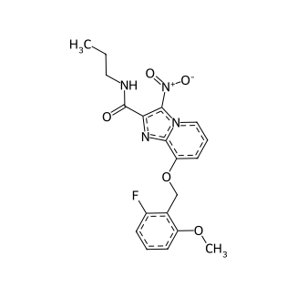 CCCNC(=O)c1nc2c(OCc3c(F)cccc3OC)cccn2c1[N+](=O)[O-]